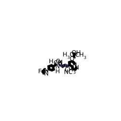 C=N/C(=C\C=C(/C)c1cc(OCC(C)(C)O)cn2ncc(C#N)c12)N[C@@H](C)c1ccc(-n2cc(F)cn2)cc1